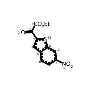 CCOC(=O)C(=O)c1cc2ccc([N+](=O)[O-])cc2s1